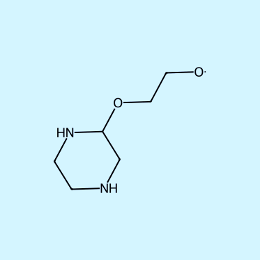 [O]CCOC1CNCCN1